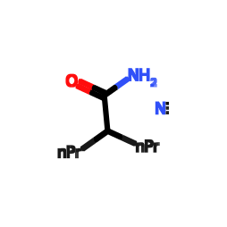 CCCC(CCC)C(N)=O.[N]